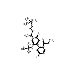 CCC(=O)c1ccc(Cl)cc1-c1cc(=O)n(C(C)CCOC(C)(C)C)cc1OC(O)(O)O